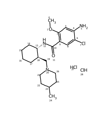 COc1cc(N)c(Cl)cc1C(=O)N[C@H]1CCCC[C@@H]1CN1CCC(C)CC1.Cl.Cl